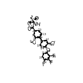 COc1cc(C(=O)NS(C)(=O)=O)ccc1-c1cnc(Oc2ccc(F)c(F)c2F)c(Cl)c1